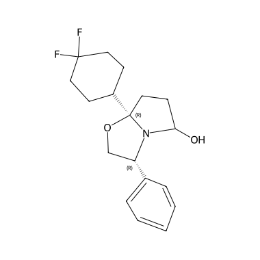 OC1CC[C@]2(C3CCC(F)(F)CC3)OC[C@@H](c3ccccc3)N12